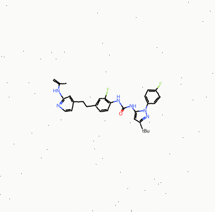 C=C(C)Nc1cc(CCc2ccc(NC(=O)Nc3cc(C(C)(C)C)nn3-c3ccc(F)cc3)c(F)c2)ccn1